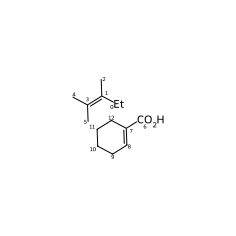 CCC(C)=C(C)C.O=C(O)C1=CCCCC1